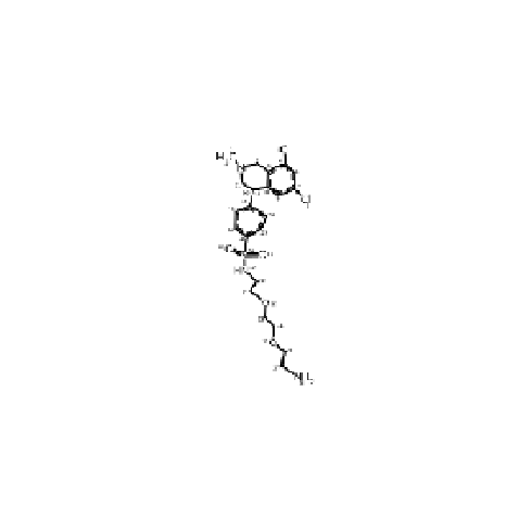 CN1Cc2c(Cl)cc(Cl)cc2[C@@H](c2ccc(S(=O)(=O)NCCOCCOCCN)cc2)C1